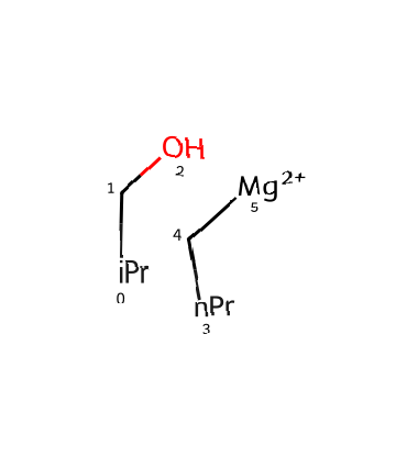 CC(C)CO.CCC[CH2][Mg+2]